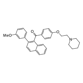 COc1cccc(-c2ccc3ccccc3c2C(=O)c2ccc(OCCN3CCCCC3)cc2)c1